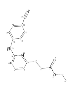 CCOC(=O)CCc1ccnc(Nc2ccc(C#N)cc2)n1